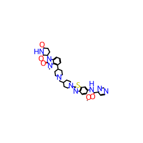 COc1cc2nc(N3CCC(CN4CCC(c5cccc6c5n(C)c(=O)n6C5CCC(=O)NC5=O)CC4)CC3)sc2cc1NC(=O)c1ccncn1